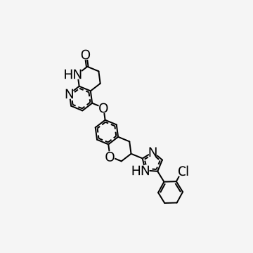 O=C1CCc2c(Oc3ccc4c(c3)CC(c3ncc(C5=CCCC=C5Cl)[nH]3)CO4)ccnc2N1